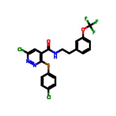 O=C(NCCc1cccc(OC(F)(F)F)c1)c1cc(Cl)nnc1Sc1ccc(Cl)cc1